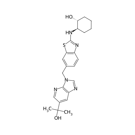 CC(C)(O)c1cnc2c(c1)ncn2Cc1ccc2nc(N[C@@H]3CCCC[C@H]3O)sc2c1